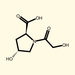 O=C(O)[C@@H]1C[C@@H](O)CN1C(=O)CO